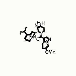 COc1ccc2c(C(=O)N3CCc4[nH]cnc4[C@H]3c3cc4c(C(F)F)cccn4n3)cnn2c1